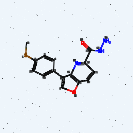 CSc1ccc(-c2coc3ccc(C(=O)NN)nc23)cc1